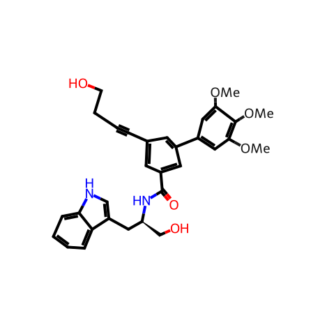 COc1cc(-c2cc(C#CCCO)cc(C(=O)N[C@@H](CO)Cc3c[nH]c4ccccc34)c2)cc(OC)c1OC